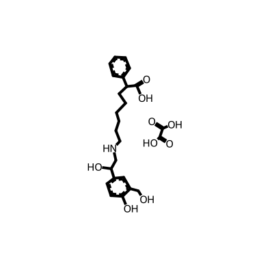 O=C(O)C(=O)O.O=C(O)C(CCCCCCNCC(O)c1ccc(O)c(CO)c1)c1ccccc1